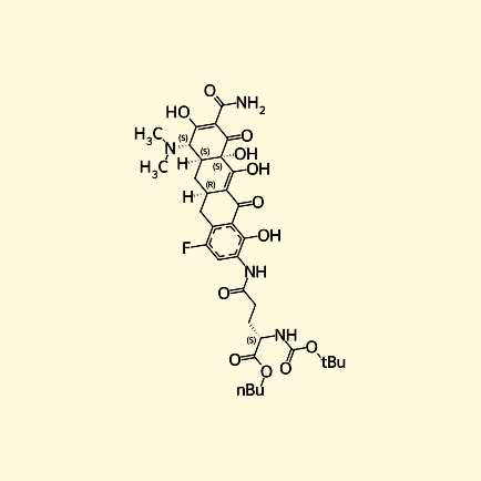 CCCCOC(=O)[C@H](CCC(=O)Nc1cc(F)c2c(c1O)C(=O)C1=C(O)[C@]3(O)C(=O)C(C(N)=O)=C(O)[C@@H](N(C)C)[C@@H]3C[C@@H]1C2)NC(=O)OC(C)(C)C